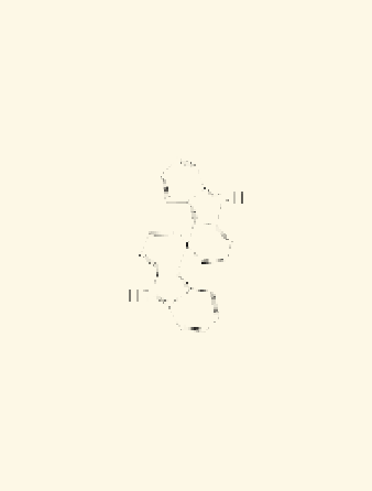 C1=CC2(C=CC=C3[SiH]=c4ccccc4=C32)C2=c3ccccc3=[SiH]C2=C1